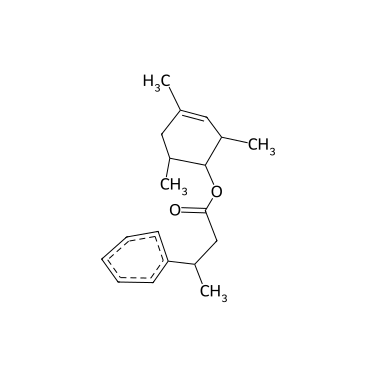 CC1=CC(C)C(OC(=O)CC(C)c2ccccc2)C(C)C1